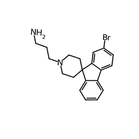 NCCCN1CCC2(CC1)c1ccccc1-c1ccc(Br)cc12